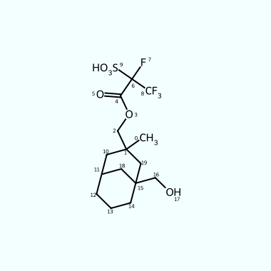 CC1(COC(=O)C(F)(C(F)(F)F)S(=O)(=O)O)CC2CCCC(CO)(C2)C1